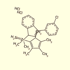 CC1=C(C)C(C)[C]([Zr]([CH3])([CH3])(=[SiH2])[CH]2C=C(c3cccc(Cl)c3)c3ccccc32)=C1C.Cl.Cl